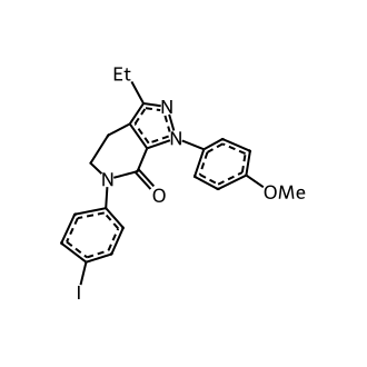 CCc1nn(-c2ccc(OC)cc2)c2c1CCN(c1ccc(I)cc1)C2=O